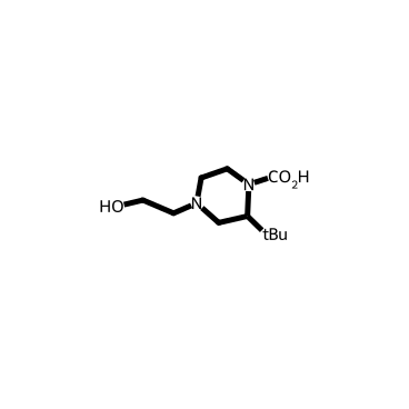 CC(C)(C)C1CN(CCO)CCN1C(=O)O